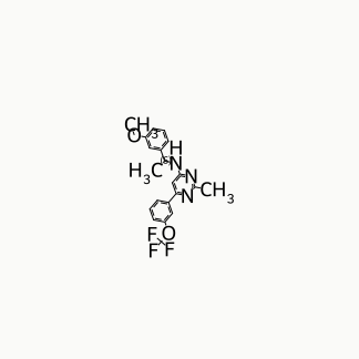 COc1cccc([C@H](C)Nc2cc(-c3cccc(OC(F)(F)F)c3)nc(C)n2)c1